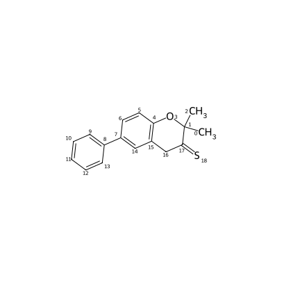 CC1(C)Oc2ccc(-c3ccccc3)cc2CC1=S